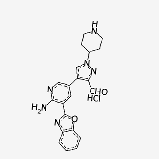 Cl.Nc1ncc(-c2cn(C3CCNCC3)nc2C=O)cc1-c1nc2ccccc2o1